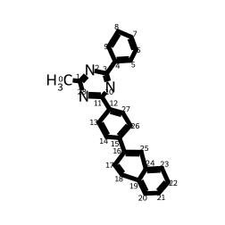 Cc1nc(-c2ccccc2)nc(-c2ccc(-c3ccc4ccccc4c3)cc2)n1